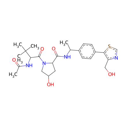 CC(=O)NC(C(=O)N1CC(O)CC1C(=O)NC(C)c1ccc(-c2scnc2CO)cc1)C(C)(C)C